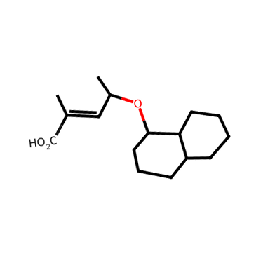 CC(=CC(C)OC1CCCC2CCCCC21)C(=O)O